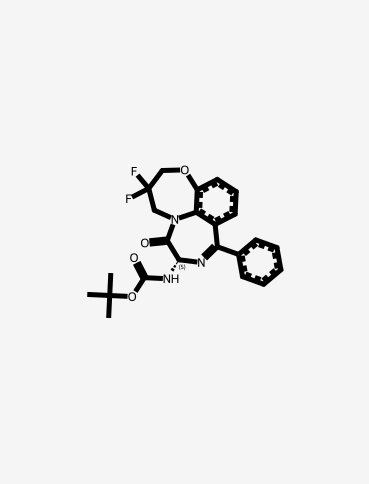 CC(C)(C)OC(=O)N[C@H]1N=C(c2ccccc2)c2cccc3c2N(CC(F)(F)CO3)C1=O